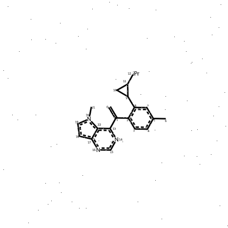 C=C(c1ccc(C)cc1C1CC1C(C)C)c1ncnc2ccn(C)c12